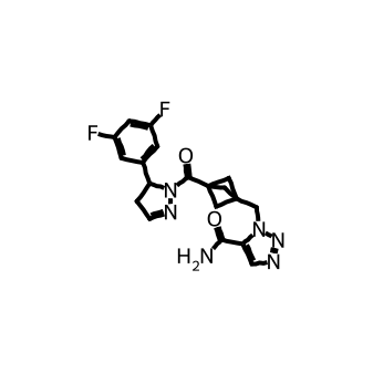 NC(=O)c1cnnn1CC12CC(C(=O)N3N=CCC3c3cc(F)cc(F)c3)(C1)C2